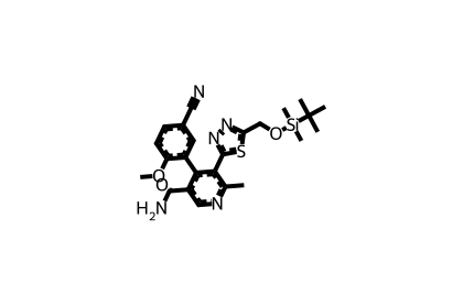 COc1ccc(C#N)cc1-c1c(C(N)=O)cnc(C)c1-c1nnc(CO[Si](C)(C)C(C)(C)C)s1